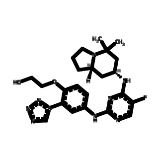 CC1(C)C[C@H](Nc2nc(Nc3ccc(OCCO)c(-n4cnnn4)c3)ncc2F)C[C@@H]2CCCN21